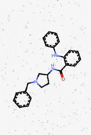 O=C(NC1CCN(Cc2ccccc2)C1)c1ccccc1Nc1ccccc1